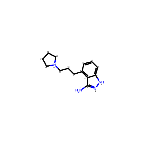 Nc1n[nH]c2cccc(CCCN3CCCC3)c12